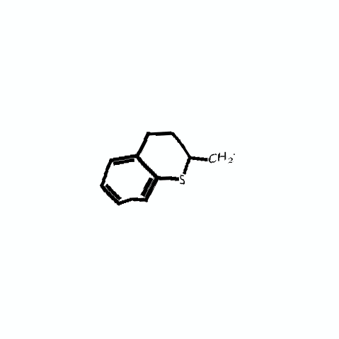 [CH2]C1CCc2ccccc2S1